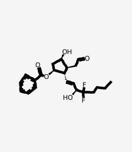 CCCCC(F)(F)[C@@H](O)C=C[C@H]1[C@H](CC=O)[C@H](O)C[C@@H]1OC(=O)c1ccccc1